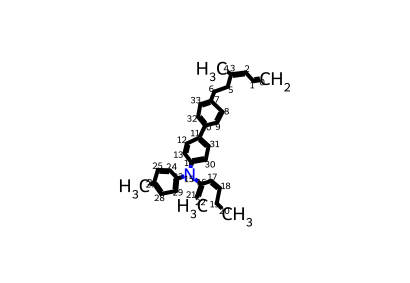 C=C/C=C(/C)CCc1ccc(-c2ccc(N(C(/C=C\CC)=C/C)c3ccc(C)cc3)cc2)cc1